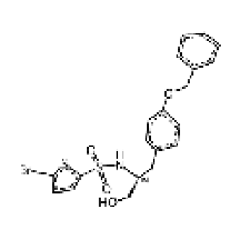 O=S(=O)(N[C@H](CO)Cc1ccc(OCc2ccccc2)cc1)c1ccc(Br)s1